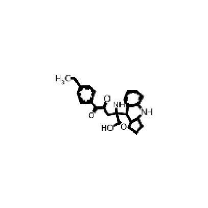 CCc1ccc(C(=O)C(=O)CC(N)(C(=O)O)C2c3ccccc3NC3CCCC32)cc1